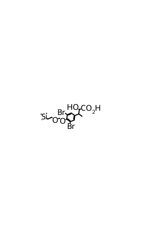 CC(c1cc(Br)c(OCOCC[Si](C)(C)C)c(Br)c1)C(O)C(=O)O